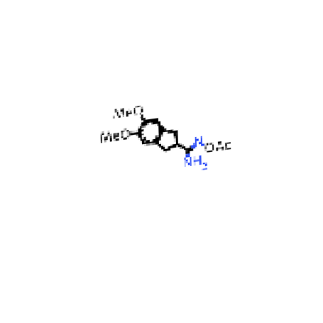 COc1cc2c(cc1OC)CC(/C(N)=N/OC(C)=O)C2